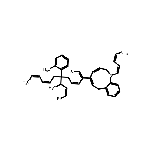 C/C=C\C=C/CC(C\C=C/C(=C\C)C1=C/Cc2ccccc2N(/C=C\C=C/C)C/C=C\1)(c1ccccc1C)C(C)/C=C\CC